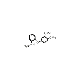 COc1ccc(Oc2ccccc2NN)cc1OC